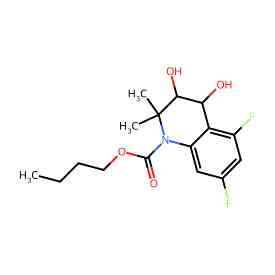 CCCCOC(=O)N1c2cc(F)cc(F)c2C(O)C(O)C1(C)C